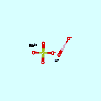 O=B[O-].O=S(=O)([O-])[O-].[Ba+2].[Li+]